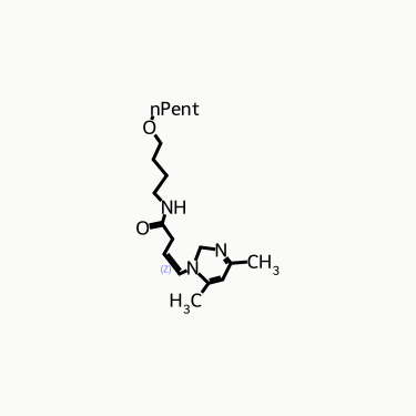 CCCCCOCCCCNC(=O)C/C=C\N1CN=C(C)C=C1C